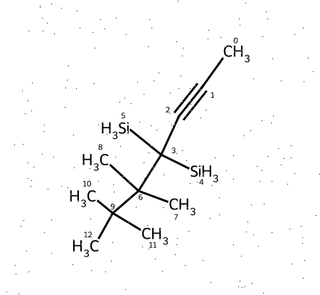 CC#CC([SiH3])([SiH3])C(C)(C)C(C)(C)C